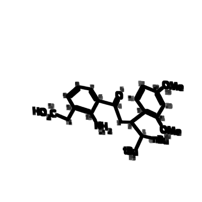 CCCCC(C(CC(=O)c1cccc(CC(=O)O)c1N)c1ccc(OC)cc1OC)C(C)(C)C